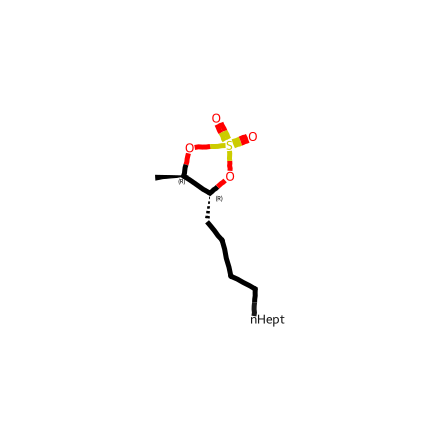 CCCCCCCCCCC[C@H]1OS(=O)(=O)O[C@@H]1C